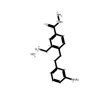 CC(=O)Nc1cccc(CCc2ccc(C(=O)NN)cc2CN)c1.Cl